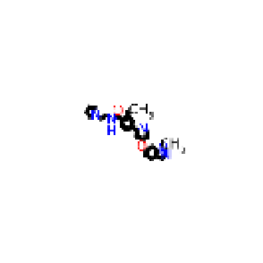 CCc1cc(-c2cc(Oc3ccc4cnn(C)c4c3)ccn2)ccc1C(=O)NCCN1CCCC1